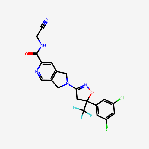 N#CCNC(=O)c1cc2c(cn1)CN(C1=NOC(c3cc(Cl)cc(Cl)c3)(C(F)(F)F)C1)C2